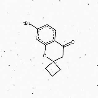 CC(C)(C)c1ccc2c(c1)OC1(CCC1)CC2=O